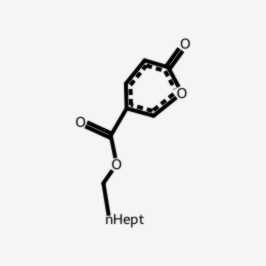 CCCCCCCCOC(=O)c1ccc(=O)oc1